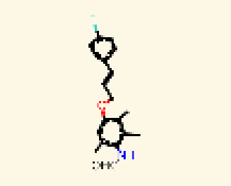 Cc1cc(OCC=Cc2ccc(F)cc2)c(C)c(C)c1NC=O